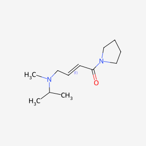 CC(C)N(C)C/C=C/C(=O)N1CCCC1